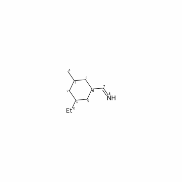 CCC1CC(C)CC(C=N)C1